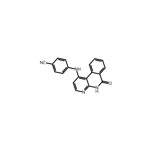 N#Cc1ccc(Nc2ccnc3[nH]c(=O)c4ccccc4c23)cc1